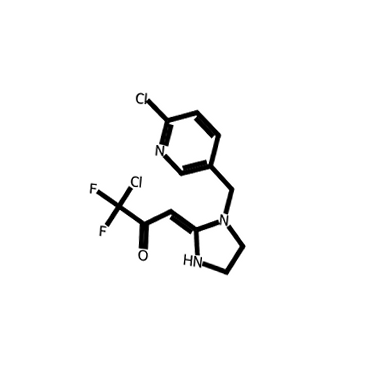 O=C(C=C1NCCN1Cc1ccc(Cl)nc1)C(F)(F)Cl